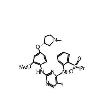 COc1cc(O[C@@H]2CCN(C)C2)ccc1Nc1ncc(I)c(Nc2ccccc2S(=O)(=O)C(C)C)n1